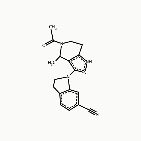 CC(=O)N1CCc2[nH]nc(N3CCc4ccc(C#N)cc43)c2C1C